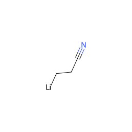 [Li][CH2]CC#N